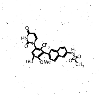 COc1c(C(C)(C)C)cc(-n2ccc(=O)[nH]c2=O)c(C(F)(F)F)c1-c1ccc2cc(NS(C)(=O)=O)ccc2c1